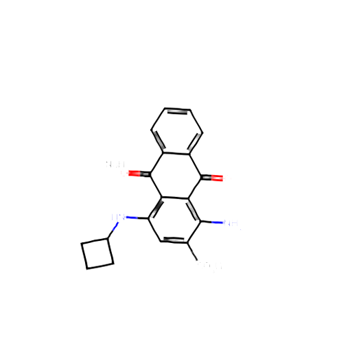 Nc1c(S(=O)(=O)O)cc(NC2CCC2)c2c1C(=O)c1ccccc1C2=O.[NaH]